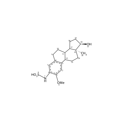 COc1cc2c(cc1NS(=O)(=O)O)CCC1C2CC[C@@]2(C)C1CC[C@H]2O